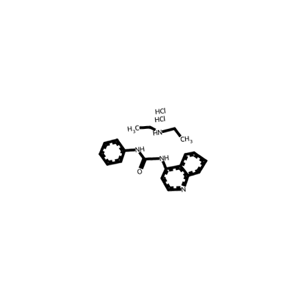 CCNCC.Cl.Cl.O=C(Nc1ccccc1)Nc1ccnc2ccccc12